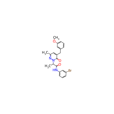 COc1cccc(Cc2cc(C)nn(C(C)C(=O)Nc3cccc(Br)c3)c2=O)c1